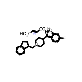 Fc1ccc2c(C3CCN(CC4CCc5ccccc54)CC3)noc2c1.O=C(O)/C=C/C(=O)O